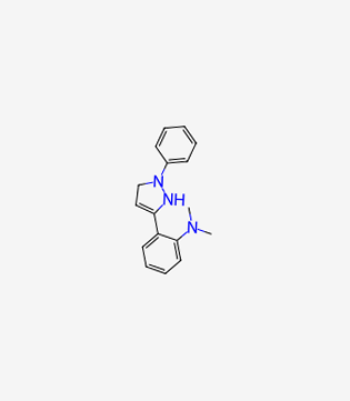 CN(C)c1ccccc1C1=CCN(c2ccccc2)N1